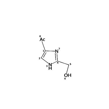 CC(=O)c1c[nH]c(CO)n1